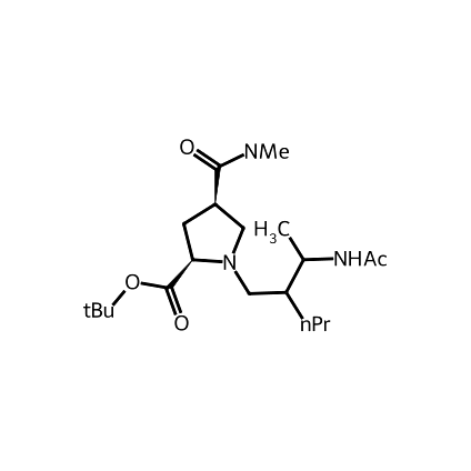 CCCC(CN1C[C@H](C(=O)NC)C[C@@H]1C(=O)OC(C)(C)C)C(C)NC(C)=O